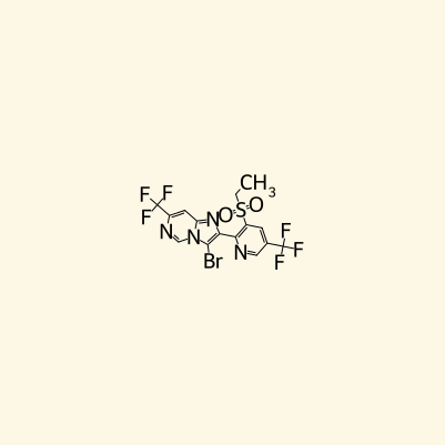 CCS(=O)(=O)c1cc(C(F)(F)F)cnc1-c1nc2cc(C(F)(F)F)ncn2c1Br